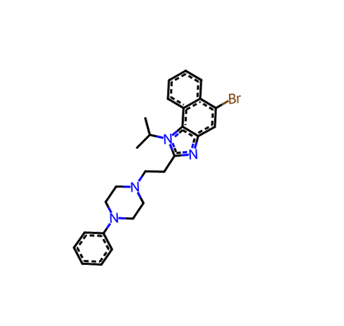 CC(C)n1c(CCN2CCN(c3ccccc3)CC2)nc2cc(Br)c3ccccc3c21